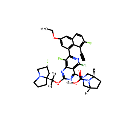 [2H]C([2H])(Oc1nc(N2C[C@H]3CC[C@@H](C2)N3C(=O)OC(C)(C)C)c2c(Cl)nc(-c3cc(OCOC)cc4ccc(F)c(C#C)c34)c(F)c2n1)[C@@]12CCCN1C[C@H](F)C2